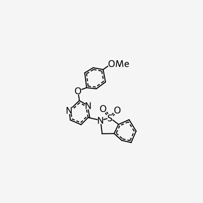 COc1ccc(Oc2nccc(N3Cc4ccccc4S3(=O)=O)n2)cc1